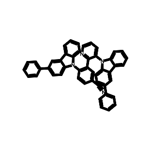 N#Cc1ccc(-n2c3ccccc3c3cc(-c4ccccc4)ccc32)c(-c2ncccc2-n2c3ccccc3c3cc(-c4ccccc4)ccc32)c1